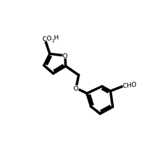 O=Cc1cccc(OCc2ccc(C(=O)O)o2)c1